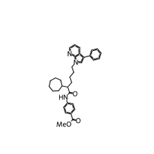 COC(=O)c1ccc(NC(=O)C(CCCCn2cc(-c3ccccc3)c3cccnc32)C2CCCCCC2)cc1